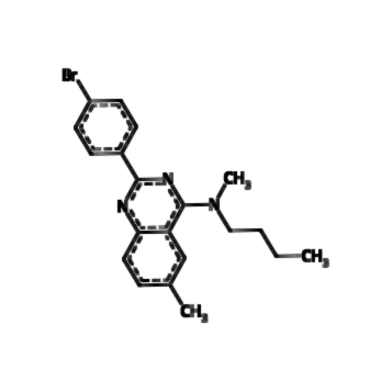 CCCCN(C)c1nc(-c2ccc(Br)cc2)nc2ccc(C)cc12